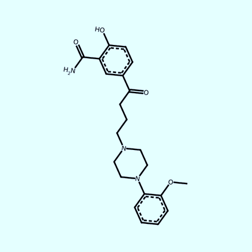 COc1ccccc1N1CCN(CCCC(=O)c2ccc(O)c(C(N)=O)c2)CC1